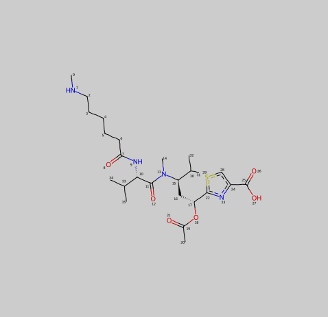 CNCCCCCC(=O)N[C@H](C(=O)N(C)[C@H](C[C@@H](OC(C)=O)c1nc(C(=O)O)cs1)C(C)C)C(C)C